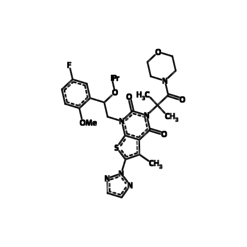 COc1ccc(F)cc1C(Cn1c(=O)n(C(C)(C)C(=O)N2CCOCC2)c(=O)c2c(C)c(-n3nccn3)sc21)OC(C)C